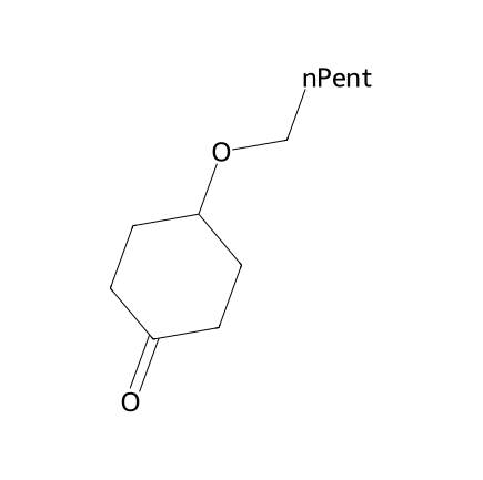 CCCCCCOC1CCC(=O)CC1